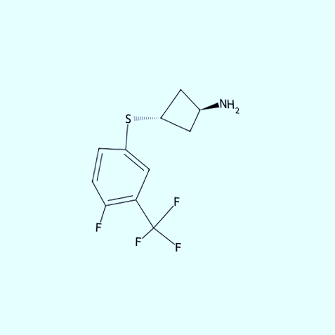 N[C@H]1C[C@H](Sc2ccc(F)c(C(F)(F)F)c2)C1